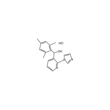 Cc1cc(C)c(C(O)c2cccnc2-n2ccnc2)c(C)c1.Cl